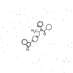 CC(CN1CCN(c2c[nH]c3ccccc23)CC1)N(C(=O)C1CCCCC1)c1ccccn1